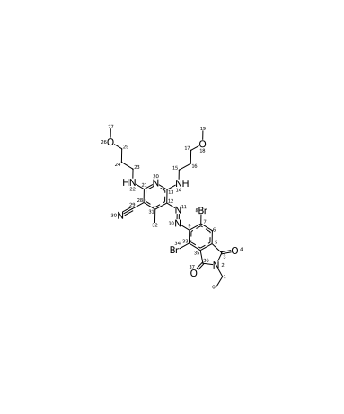 CCN1C(=O)c2cc(Br)c(/N=N/c3c(NCCCOC)nc(NCCCOC)c(C#N)c3C)c(Br)c2C1=O